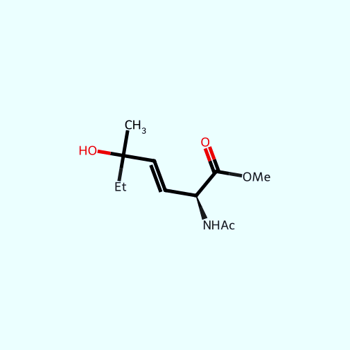 CCC(C)(O)/C=C/[C@H](NC(C)=O)C(=O)OC